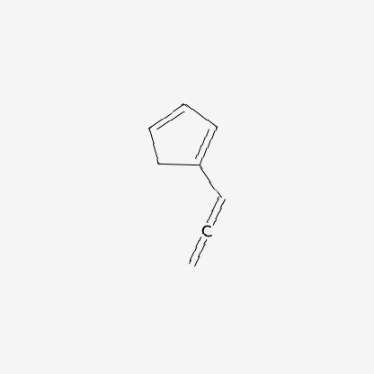 C=C=CC1=CC=CC1